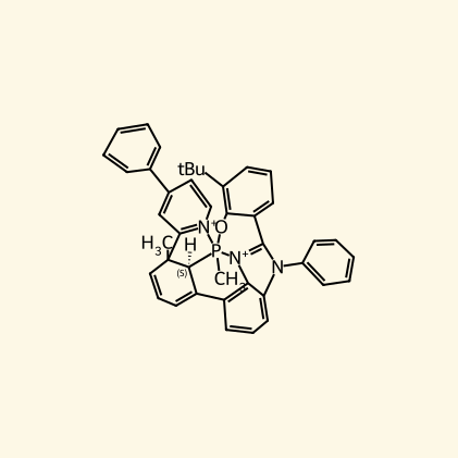 CC(C)(C)c1cccc2c1OP13(C)[C@H]4C(=CC=CC4(C)c4cc(-c5ccccc5)cc[n+]41)c1cccc4c1[n+]3c-2n4-c1ccccc1